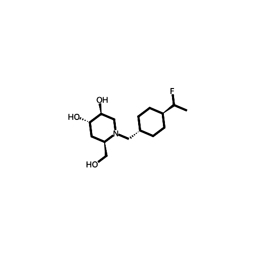 CC(F)[C@H]1CC[C@H](CN2C[C@H](O)[C@@H](O)C[C@@H]2CO)CC1